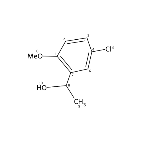 COc1ccc(Cl)cc1C(C)O